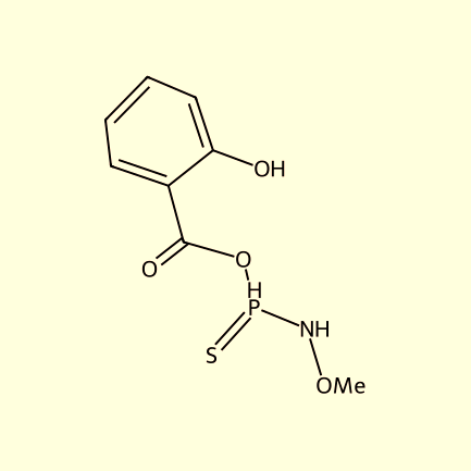 CON[PH](=S)OC(=O)c1ccccc1O